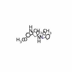 COc1ccc2[nH]c(C)c(CC(=O)N/N=C/c3ccccc3OC)c2c1